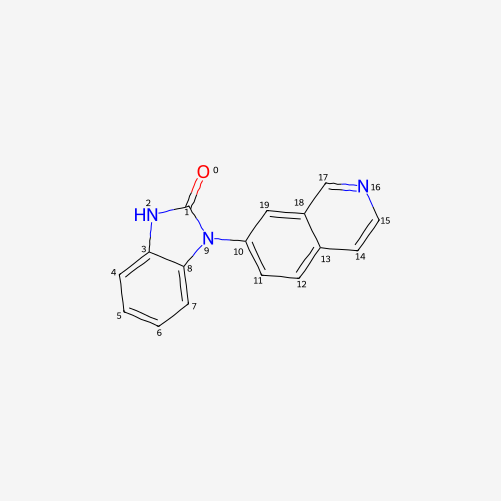 O=c1[nH]c2ccccc2n1-c1ccc2ccncc2c1